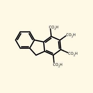 O=C(O)c1c2c(c(C(=O)O)c(C(=O)O)c1C(=O)O)-c1ccccc1C2